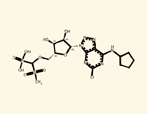 CS(=O)(=O)C(OC[C@H]1O[C@@H](n2nnc3c(NC4CCCC4)nc(Cl)nc32)[C@H](O)[C@@H]1O)P(=O)(O)O